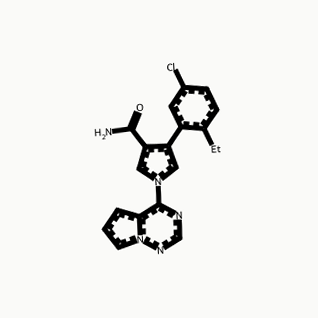 CCc1ccc(Cl)cc1-c1cn(-c2ncnn3cccc23)cc1C(N)=O